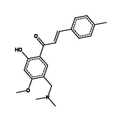 COc1cc(O)c(C(=O)/C=C/c2ccc(C)cc2)cc1CN(C)C